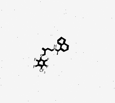 C=C(CCN[C@H](C)c1cccc2ccccc12)CSc1c(F)c(F)c(C(F)(F)F)c(F)c1F